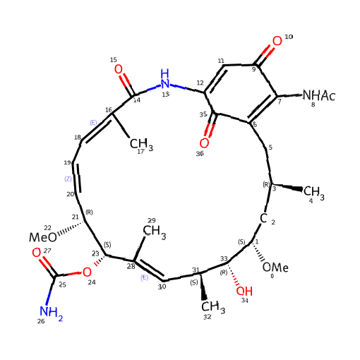 CO[C@H]1C[C@H](C)CC2=C(NC(C)=O)C(=O)C=C(NC(=O)/C(C)=C/C=C\[C@@H](OC)[C@@H](OC(N)=O)/C(C)=C/[C@H](C)[C@H]1O)C2=O